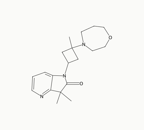 CC1(C)C(=O)N(C2CC(C)(N3CCCOCC3)C2)c2cccnc21